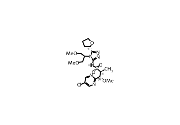 COCC(COC)n1c(NS(=O)(=O)[C@@H](C)[C@H](OC)c2ncc(Cl)cn2)nnc1[C@@H]1CCCO1